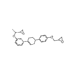 CC(Oc1cccc(C2=CCC(c3ccc(OCC4CO4)cc3)CC2)c1)C1CO1